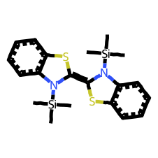 C[Si](C)(C)N1/C(=C2\Sc3ccccc3N2[Si](C)(C)C)Sc2ccccc21